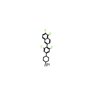 CCCC1CCC(c2cc(F)c(-c3ccc4c(F)c(F)ccc4c3)c(F)c2)CC1